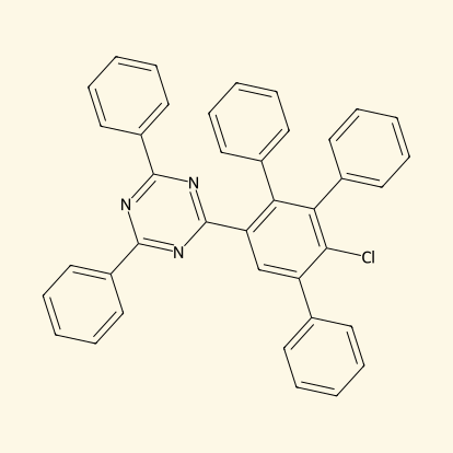 Clc1c(-c2ccccc2)cc(-c2nc(-c3ccccc3)nc(-c3ccccc3)n2)c(-c2ccccc2)c1-c1ccccc1